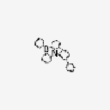 c1ccc(B2c3ccccc3-n3c4cc(-c5ccccc5)ccc4c4cccc2c43)cc1